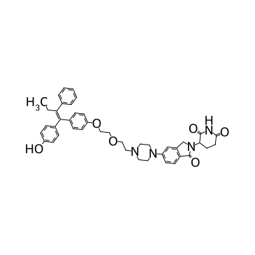 CC/C(=C(\c1ccc(O)cc1)c1ccc(OCCOCCN2CCN(c3ccc4c(c3)CN(C3CCC(=O)NC3=O)C4=O)CC2)cc1)c1ccccc1